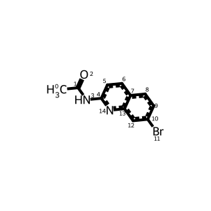 CC(=O)Nc1ccc2ccc(Br)cc2n1